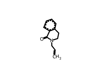 C=CCN1CCc2ccccc2C1=O